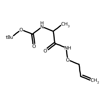 C=CCONC(=O)C(C)NC(=O)OC(C)(C)C